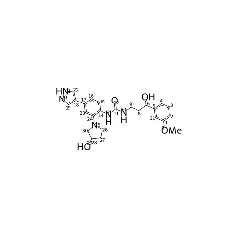 COc1cccc(C(O)CCNC(=O)Nc2ccc(-c3cn[nH]c3)cc2N2CCC(O)C2)c1